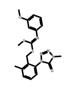 COc1cccc(/N=C(\SC)SCc2c(C)cccc2-n2nnn(C)c2=O)c1